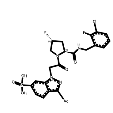 CC(=O)c1nn(CC(=O)N2C[C@H](F)C[C@H]2C(=O)NCc2cccc(Cl)c2F)c2cc(P(=O)(O)O)ccc12